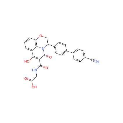 N#Cc1ccc(-c2ccc(C3COc4cccc5c(O)c(C(=O)NCC(=O)O)c(=O)n3c45)cc2)cc1